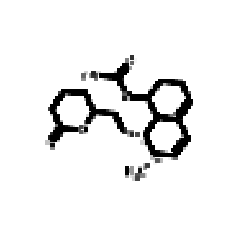 CCCC(=O)OC1CCC=C2C=C[C@H](C)[C@H](CCC3CCCC(=O)O3)C21